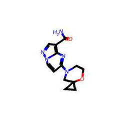 NC(=O)c1cnn2ccc(N3CCOC4(CC4)C3)nc12